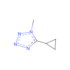 Cn1nnnc1C1CC1